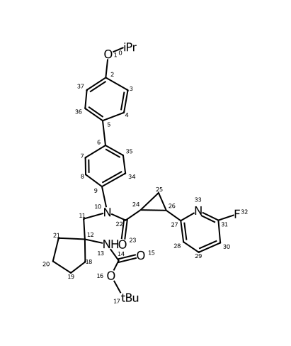 CC(C)Oc1ccc(-c2ccc(N(CC3(NC(=O)OC(C)(C)C)CCCC3)C(=O)C3CC3c3cccc(F)n3)cc2)cc1